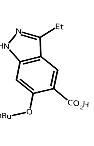 CCCCOc1cc2[nH]nc(CC)c2cc1C(=O)O